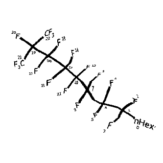 CCCCC[CH]C(F)(F)C(F)(F)C(F)(F)C(F)(F)C(F)(F)C(F)(F)C(F)(C(F)(F)F)C(F)(F)F